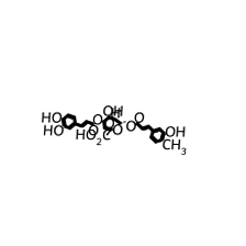 Cc1ccc(/C=C/C(=O)OC[C@@H]2O[C@]3(C(=O)O)C[C@H](OC(=O)/C=C/c4ccc(O)c(O)c4)[C@@H](O)[C@H]2O3)cc1O